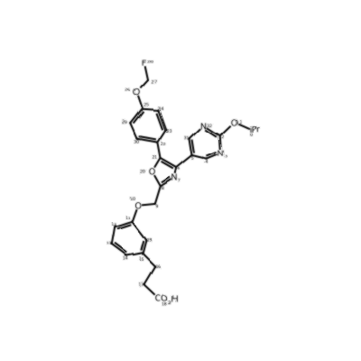 CC(C)Oc1ncc(-c2nc(COc3cccc(CCC(=O)O)c3)oc2-c2ccc(OCF)cc2)cn1